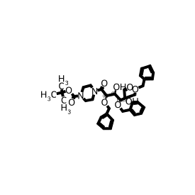 CC(C)(C)OC(=O)N1CCN(C(=O)[C@H](OCc2ccccc2)[C@@H](O)[C@H](OCc2ccccc2)[C@](O)(C=O)COCc2ccccc2)CC1